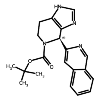 CC(C)(C)OC(=O)N1CCc2[nH]cnc2[C@H]1c1cc2ccccc2cn1